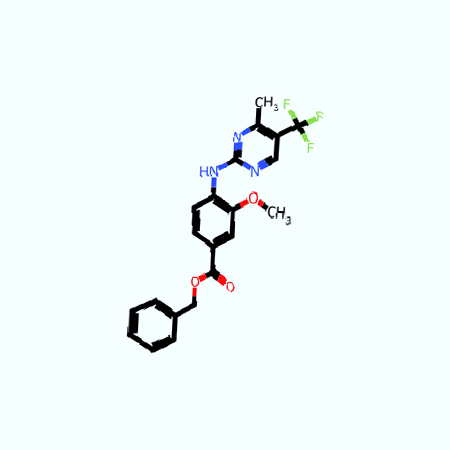 COc1cc(C(=O)OCc2ccccc2)ccc1Nc1ncc(C(F)(F)F)c(C)n1